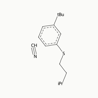 C#N.CC(C)CCSc1cccc(C(C)(C)C)c1